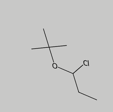 CCC(Cl)OC(C)(C)C